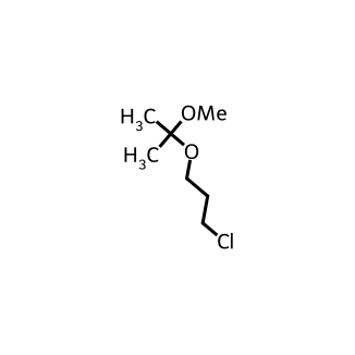 COC(C)(C)OCCCCl